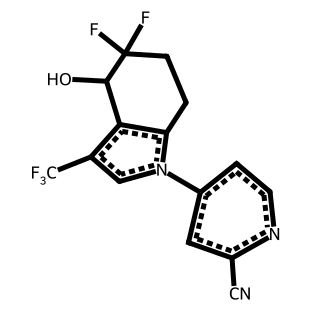 N#Cc1cc(-n2cc(C(F)(F)F)c3c2CCC(F)(F)C3O)ccn1